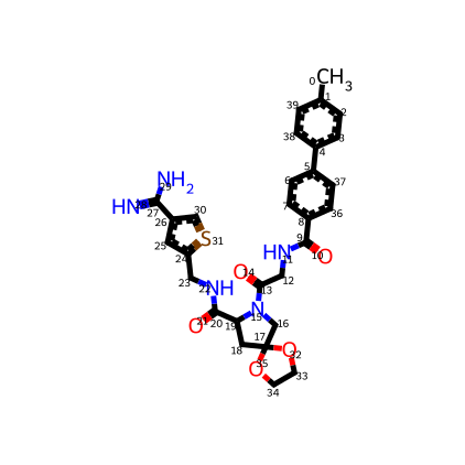 Cc1ccc(-c2ccc(C(=O)NCC(=O)N3CC4(CC3C(=O)NCc3cc(C(=N)N)cs3)OCCO4)cc2)cc1